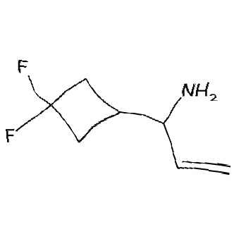 C=CC(N)C1CC(F)(F)C1